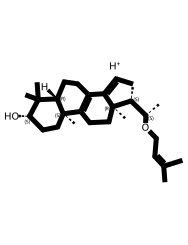 CC(C)=CCO[C@@H](C)[C@H]1CC=C2C3=C(CC[C@@]21C)[C@@]1(C)CC[C@H](O)C(C)(C)[C@@H]1CC3.[H+]